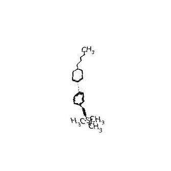 CCCCC[C@H]1CC[C@H](c2ccc(C#C[Si](C)(C)C)cc2)CC1